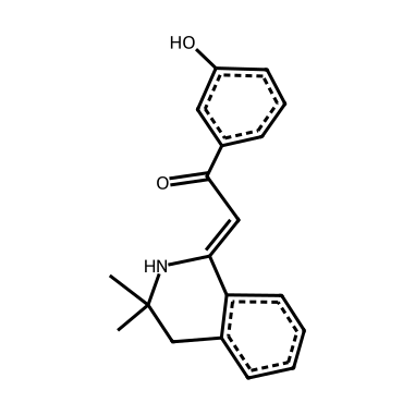 CC1(C)Cc2ccccc2C(=CC(=O)c2cccc(O)c2)N1